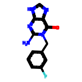 Nc1nc2[nH]cnc2c(=O)n1Cc1cccc(F)c1